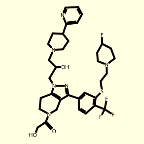 O=C(CO)N1CCc2c(c(-c3ccc(C(F)(F)F)c(SCCN4CCC(F)CC4)c3)nn2CC(O)CN2CCC(c3ccccn3)CC2)C1